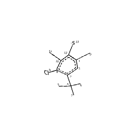 Cc1cc(C(C)(C)C)c(Cl)c(C)c1[S]